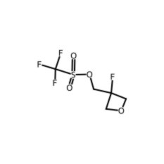 O=S(=O)(OCC1(F)COC1)C(F)(F)F